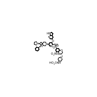 CC(C)c1ccccc1[C@@H]1CCCN1C1CC2(CCN(c3cnc(NS(=O)(=O)c4cc5c(c([N+](=O)[O-])c4)N[C@@H](CN4CCC(NC(=O)O)CC4)CO5)c(Oc4cnc5[nH]ccc5c4)c3)CC2)C1